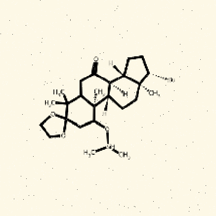 C[SiH](C)OC1CC2(OCCO2)C(C)(C)C2CC(=O)[C@@H]3[C@H](CC[C@]4(C)[C@@H](C(C)(C)C)CC[C@@H]34)[C@@]12C